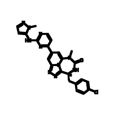 CN1C(=O)N[C@H](Cc2ccc(Cl)cc2)c2nnc3cc(-c4ccnc(Nc5ccnn5C)n4)cc1n23